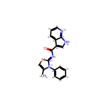 Cc1cs/c(=N\C(=O)c2c[nH]c3ncccc23)n1-c1ccccc1